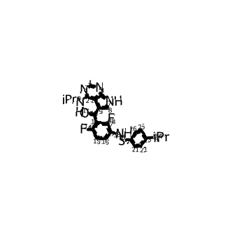 CC(C)Nc1ncnc2[nH]cc(C(=O)c3c(F)ccc(NSc4ccc(C(C)C)cc4)c3F)c12